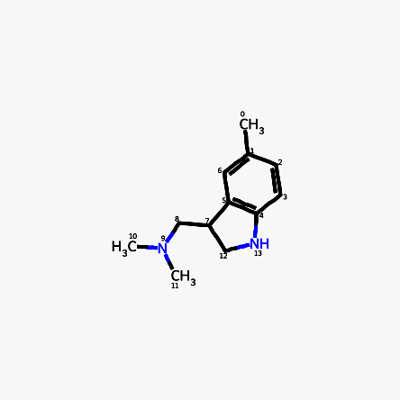 Cc1ccc2c(c1)C(CN(C)C)CN2